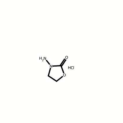 Cl.NN1CCOC1=O